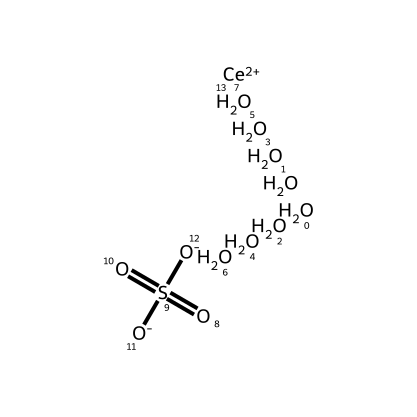 O.O.O.O.O.O.O.O.O=S(=O)([O-])[O-].[Ce+2]